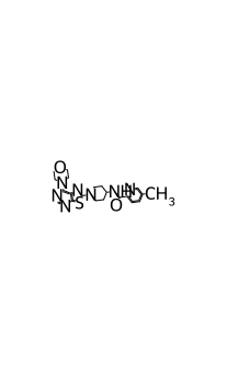 Cc1ccc(C(=O)NC2CCN(c3nc4c(N5CCOCC5)ncnc4s3)CC2)nc1